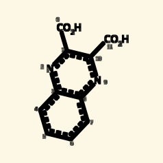 O=C(O)c1nc2ccccc2nc1C(=O)O